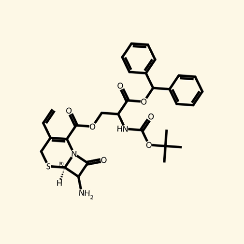 C=CC1=C(C(=O)OCC(NC(=O)OC(C)(C)C)C(=O)OC(c2ccccc2)c2ccccc2)N2C(=O)C(N)[C@H]2SC1